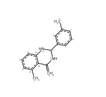 C=C1NC(c2cccc(C)c2)Nc2cccc(C)c21